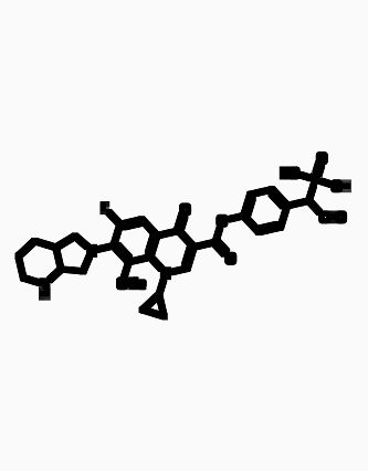 COc1c(N2CC3CCCNC3C2)c(F)cc2c(=O)c(C(=O)Oc3ccc(C(C=O)P(=O)(O)O)cc3)cn(C3CC3)c12